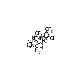 CC(Nc1nc2cc(C(F)(F)F)cc(Cl)c2o1)c1nc(C(F)(F)F)nn1-c1ncccn1